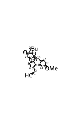 C#CCc1ccc2c(c1)n(Cc1ccc(OC)cc1)c(=O)n2CC(=O)OC(C)(C)C